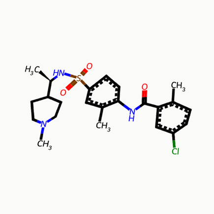 Cc1cc(S(=O)(=O)N[C@H](C)C2CCN(C)CC2)ccc1NC(=O)c1cc(Cl)ccc1C